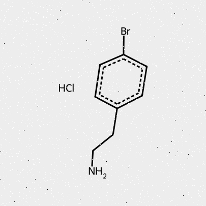 Cl.NCCc1ccc(Br)cc1